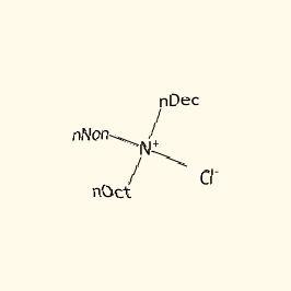 CCCCCCCCCC[N+](C)(CCCCCCCC)CCCCCCCCC.[Cl-]